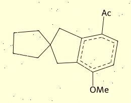 COc1ccc(C(C)=O)c2c1CC1(CCCC1)C2